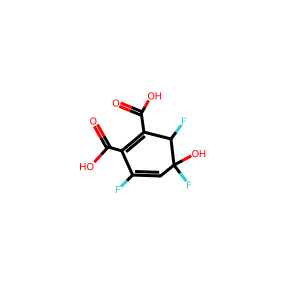 O=C(O)C1=C(C(=O)O)C(F)C(O)(F)C=C1F